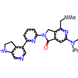 CNCc1nc(N(C)C(C)C)cc2c1CN(c1cccc(-c3cncc4c3CCN4)n1)C2=O